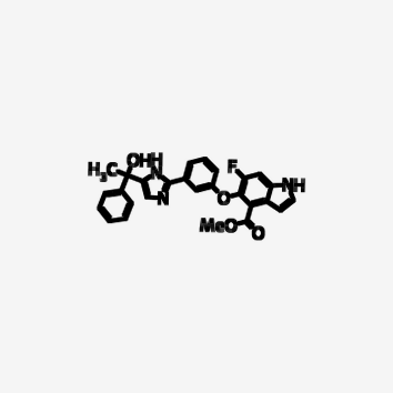 COC(=O)c1c(Oc2cccc(-c3ncc(C(C)(O)c4ccccc4)[nH]3)c2)c(F)cc2[nH]ccc12